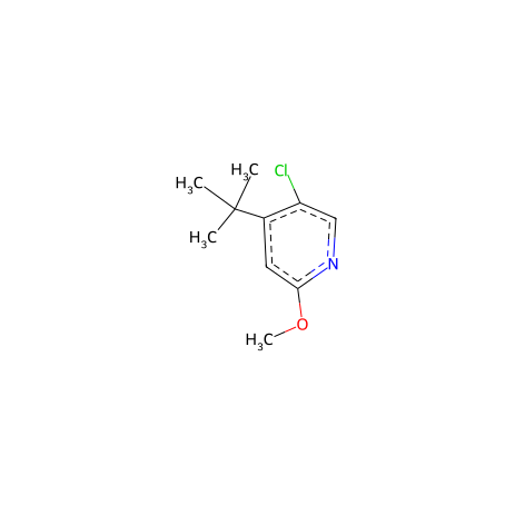 COc1cc(C(C)(C)C)c(Cl)cn1